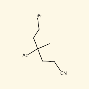 CC(=O)C(C)(CCC#N)CCC(C)C